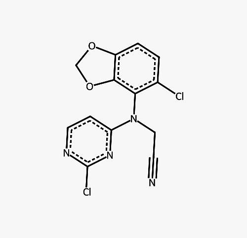 N#CCN(c1ccnc(Cl)n1)c1c(Cl)ccc2c1OCO2